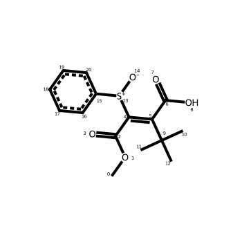 COC(=O)C(=C(C(=O)O)C(C)(C)C)[S+]([O-])c1ccccc1